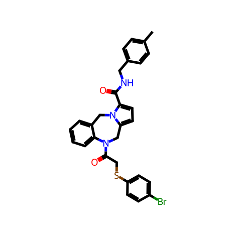 Cc1ccc(CNC(=O)c2ccc3n2Cc2ccccc2N(C(=O)CSc2ccc(Br)cc2)C3)cc1